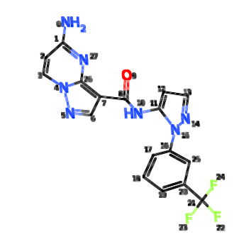 Nc1ccn2ncc(C(=O)Nc3ccnn3-c3cccc(C(F)(F)F)c3)c2n1